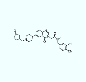 CN(Cc1ccc(C#N)c(Cl)c1)C(=O)Cn1cnc2ccc(C3CCN(CC4CCC(=O)C4)CC3)cc2c1=O